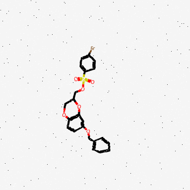 O=S(=O)(OCC1COc2ccc(OCc3ccccc3)cc2O1)c1ccc(Br)cc1